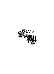 COC(=O)c1cc(NC(=O)O[C@H]2[C@H](C)c3c(cc(F)c(-c4cccc5cc[nH]c45)c3F)NC2(C)C)cc(C(=O)OC)c1